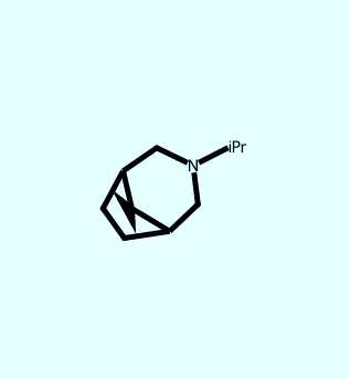 CC(C)N1CC2CCC(C1)C21CC1